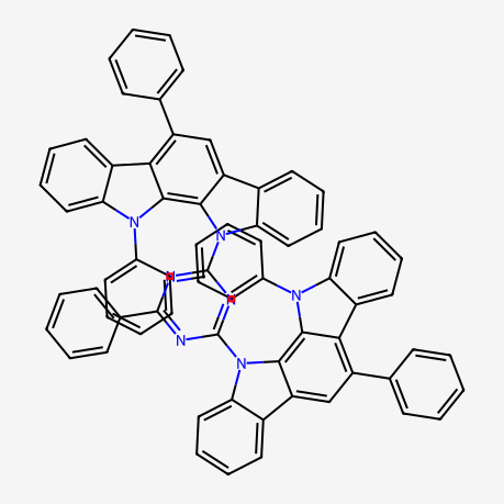 c1ccc(-c2nc(-n3c4ccccc4c4cc(-c5ccccc5)c5c6ccccc6n(-c6ccccc6)c5c43)nc(-n3c4ccccc4c4cc(-c5ccccc5)c5c6ccccc6n(-c6ccccc6)c5c43)n2)cc1